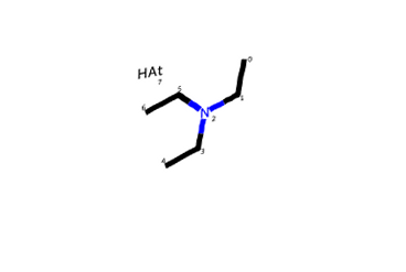 CCN(CC)CC.[AtH]